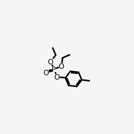 CCOP(=O)(OCC)Oc1ccc(C)cc1